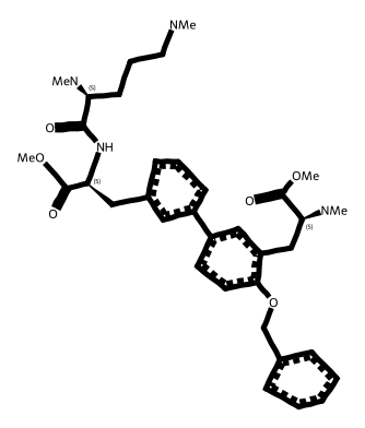 CNCCC[C@H](NC)C(=O)N[C@@H](Cc1cccc(-c2ccc(OCc3ccccc3)c(C[C@H](NC)C(=O)OC)c2)c1)C(=O)OC